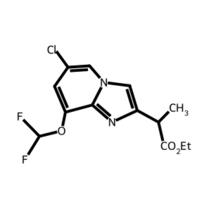 CCOC(=O)C(C)c1cn2cc(Cl)cc(OC(F)F)c2n1